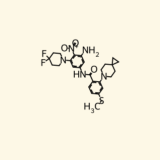 CSc1ccc(C(=O)Nc2cc(N)c([N+](=O)[O-])c(N3CCC(F)(F)CC3)c2)c(N2CCC3(CC2)CC3)c1